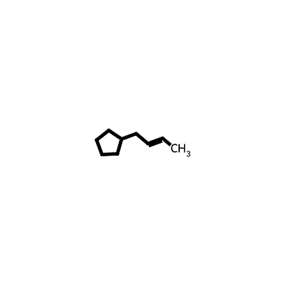 CC=CCC1CCCC1